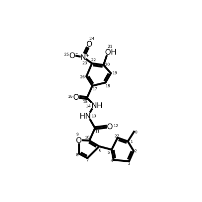 Cc1cccc(-c2ccoc2C(=O)NNC(=O)c2ccc(O)c([N+](=O)[O-])c2)c1